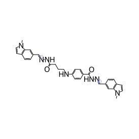 Cn1ccc2ccc(/C=N/NC(=O)CCCNc3ccc(C(=O)N/N=C/c4ccc5ccn(C)c5c4)cc3)cc21